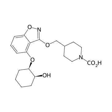 O=C(O)N1CCC(COc2noc3cccc(O[C@@H]4CCCC[C@@H]4O)c23)CC1